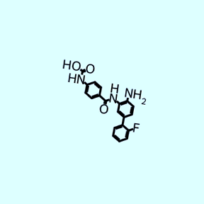 Nc1ccc(-c2ccccc2F)cc1NC(=O)c1ccc(NC(=O)O)cc1